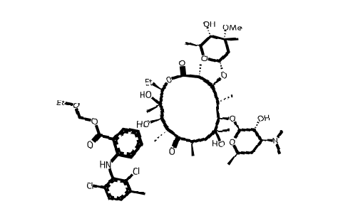 CCOCOC(=O)c1ccccc1Nc1c(Cl)ccc(C)c1Cl.CC[C@H]1OC(=O)[C@H](C)[C@@H](O[C@H]2C[C@@](C)(OC)[C@@H](O)[C@H](C)O2)[C@H](C)[C@@H](O[C@@H]2O[C@H](C)C[C@H](N(C)C)[C@H]2O)[C@](C)(O)C[C@@H](C)C(=O)[C@H](C)[C@@H](O)[C@]1(C)O